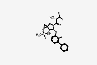 CS(=O)(=O)N[C@@H]1[C@H](Cc2cccc(-c3ccccc3)c2F)N(C(=O)[C@H](O)C(F)F)CC12CC2